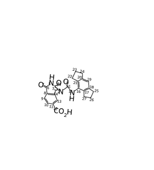 O=C(N=S1(=O)NC(=O)c2ccc(C(=O)O)cc21)Nc1c2c(cc3c1CCC3)CCC2